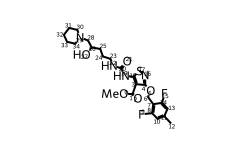 COC(=O)c1c(OCc2c(F)cc(C)cc2F)nsc1NC(=O)NCCCC(O)CN1CCCCC1